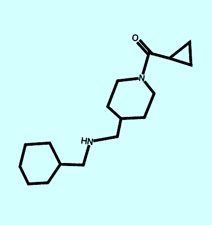 O=C(C1CC1)N1CCC(CNCC2CCCCC2)CC1